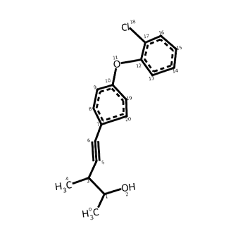 CC(O)C(C)C#Cc1ccc(Oc2ccccc2Cl)cc1